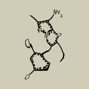 CCc1oc2c(N)c(C)nn2c1-c1ccc(Cl)cc1Cl